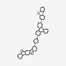 CC1(C)c2ccccc2-c2ccc(-c3ccc4c5ccc(-c6ccc(-c7ccc8oc9cc%10c(cc9c8c7)oc7ccccc7%10)cc6)cc5c5ccccc5c4c3)cc21